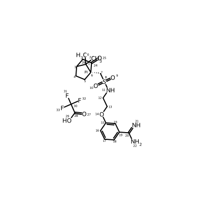 CC1(C)C2CC[C@]1(CS(=O)(=O)NCCOc1cccc(C(=N)N)c1)C(=O)C2.O=C(O)C(F)(F)F